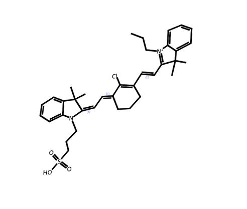 CCC[N+]1=C(/C=C/C2=C(Cl)C(=C/C=C3/N(CCCS(=O)(=O)O)c4ccccc4C3(C)C)/CCC2)C(C)(C)c2ccccc21